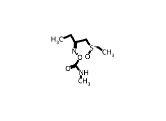 CCC(C[S+]([O-])CC)=NOC(=O)NC